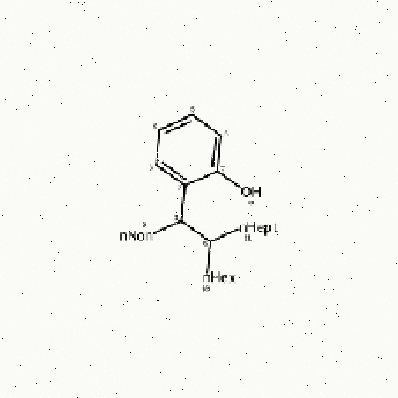 CCCCCCCCCC(c1ccccc1O)C(CCCCCC)CCCCCCC